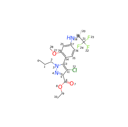 CCCn1nc(C(=O)OCC)c(Cl)c1-c1ccc(N[C@H](C)C(F)(F)F)cc1OC